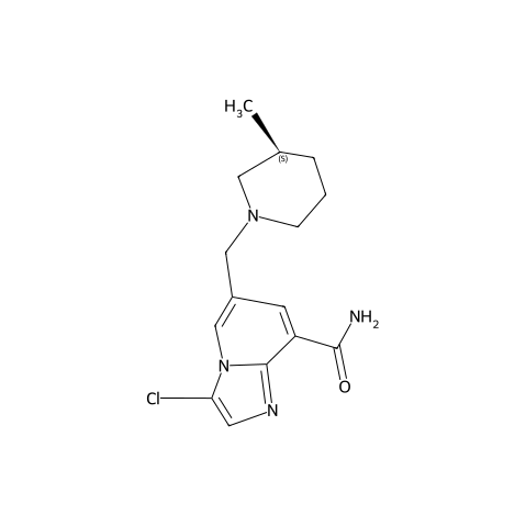 C[C@H]1CCCN(Cc2cc(C(N)=O)c3ncc(Cl)n3c2)C1